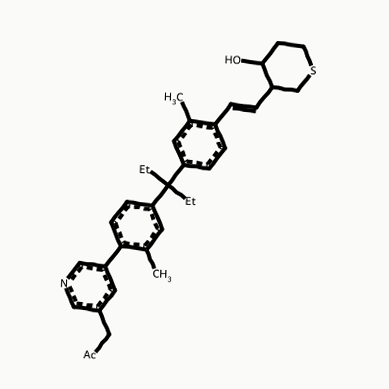 CCC(CC)(c1ccc(/C=C/C2CSCCC2O)c(C)c1)c1ccc(-c2cncc(CC(C)=O)c2)c(C)c1